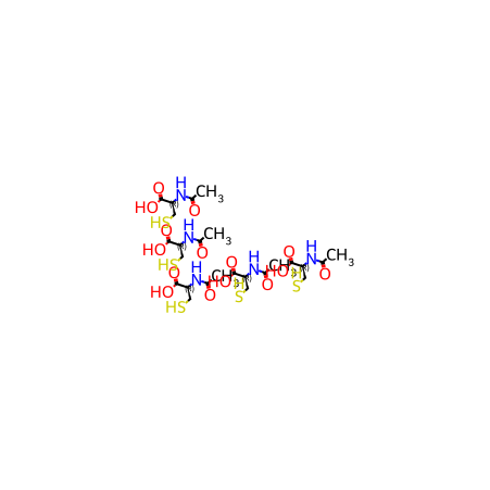 CC(=O)N[C@@H](CS)C(=O)O.CC(=O)N[C@@H](CS)C(=O)O.CC(=O)N[C@@H](CS)C(=O)O.CC(=O)N[C@@H](CS)C(=O)O.CC(=O)N[C@@H](CS)C(=O)O